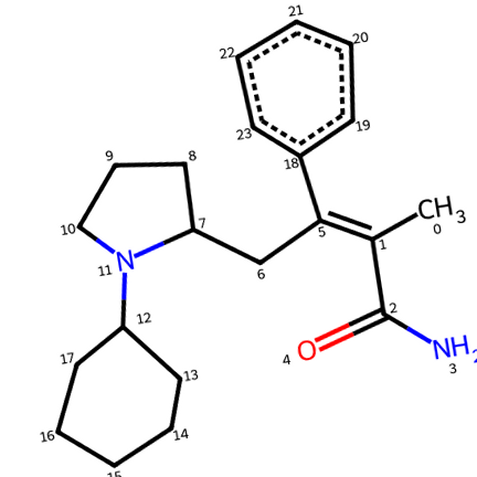 CC(C(N)=O)=C(CC1CCCN1C1CCCCC1)c1ccccc1